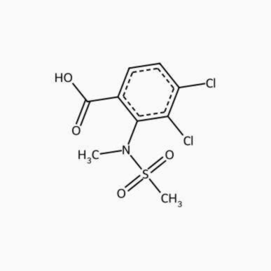 CN(c1c(C(=O)O)ccc(Cl)c1Cl)S(C)(=O)=O